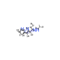 CC/C=C/N/C(CCC)=C(C)/C(N)=C(\C)C1=CCC(C)C=C1